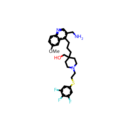 COc1ccc2ncc(CN)c(CCCC3(CO)CCN(CCSc4cc(F)c(F)c(F)c4)CC3)c2c1